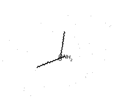 CCCCCC=CCC=CCCCCCCCCOC(CCN)OCCCCCCCCC=CCC=CCCCCC